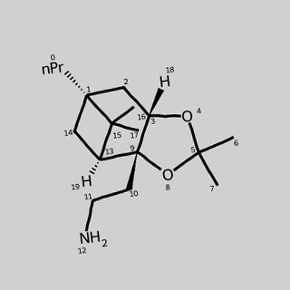 CCC[C@@]12C[C@@H]3OC(C)(C)O[C@]3(CCN)[C@@H](C1)C2(C)C